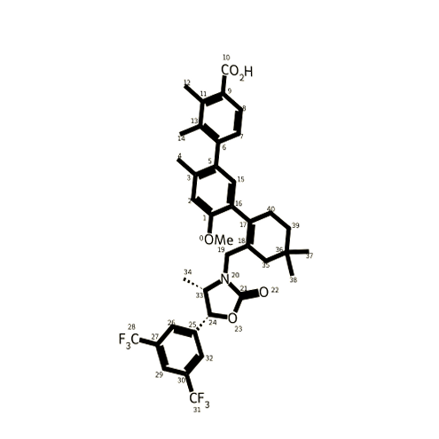 COc1cc(C)c(-c2ccc(C(=O)O)c(C)c2C)cc1C1=C(CN2C(=O)O[C@H](c3cc(C(F)(F)F)cc(C(F)(F)F)c3)[C@@H]2C)CC(C)(C)CC1